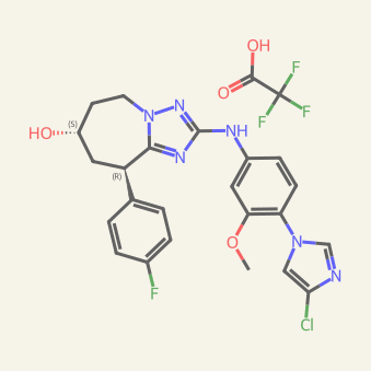 COc1cc(Nc2nc3n(n2)CC[C@@H](O)C[C@@H]3c2ccc(F)cc2)ccc1-n1cnc(Cl)c1.O=C(O)C(F)(F)F